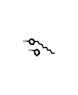 CCCCCCCCCc1ccc(S)cc1.Sc1ccccc1